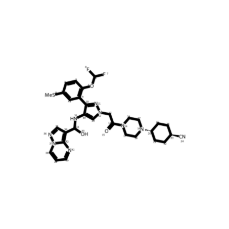 CSc1ccc(OC(F)F)c(-c2nn(CC(=O)N3CCN([C@H]4CC[C@H](C#N)CC4)CC3)cc2NC(O)c2cnn3cccnc23)c1